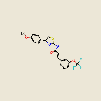 COc1ccc(C2CSC(NC(=O)/C=C/c3cccc(OC(F)(F)F)c3)=N2)cc1